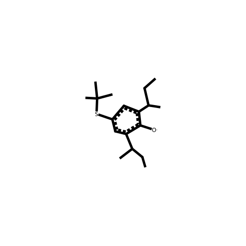 CCC(C)c1cc(SC(C)(C)C)cc(C(C)CC)c1[O]